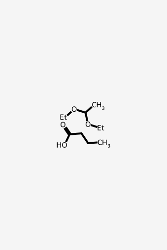 CCCC(=O)O.CCOC(C)OCC